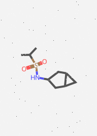 CC(C)S(=O)(=O)NC1CC2CC2C1